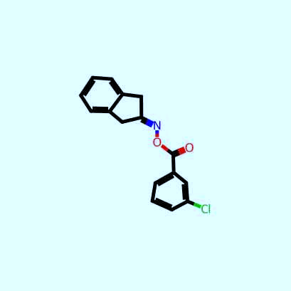 O=C(ON=C1Cc2ccccc2C1)c1cccc(Cl)c1